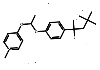 Cc1ccc(OC(C)Oc2[c]cc(C(C)(C)CC(C)(C)C)cc2)cc1